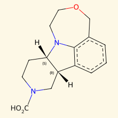 O=C(O)N1CC[C@H]2[C@@H](C1)c1cccc3c1N2CCOC3